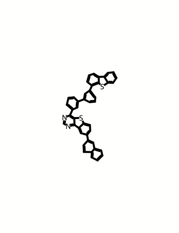 c1cc(-c2cccc(-c3ncnc4c3sc3ccc(-c5ccc6ccccc6c5)cc34)c2)cc(-c2cccc3c2sc2ccccc23)c1